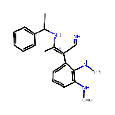 CCCNc1c(NC=O)cccc1/C(C=N)=C(\C)NC(C)c1ccccc1